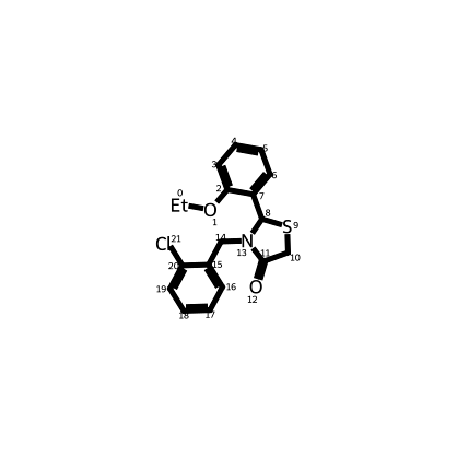 CCOc1ccccc1C1SCC(=O)N1Cc1ccccc1Cl